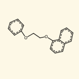 c1ccc(OCCOc2cccc3ccccc23)cc1